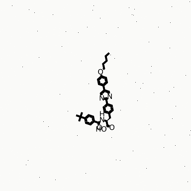 CCCCCOc1ccc(-c2cnc(-c3ccc(C[C@H](NC(=O)c4ccc(C(C)(C)C)cc4)C(=O)O)cc3)nc2)cc1